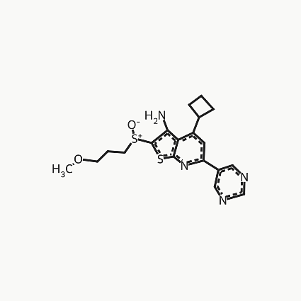 COCCC[S+]([O-])c1sc2nc(-c3cncnc3)cc(C3CCC3)c2c1N